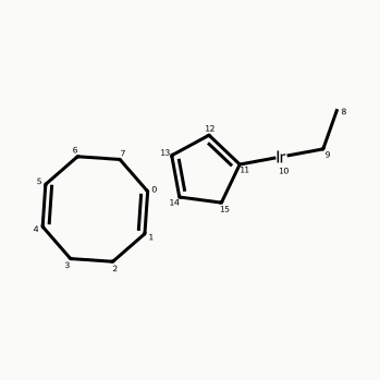 C1=C\CC/C=C\CC/1.C[CH2][Ir][C]1=CC=CC1